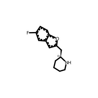 Fc1ccc2oc(C[C@@H]3CCCCN3)cc2c1